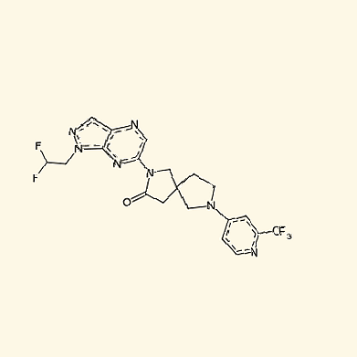 O=C1CC2(CCN(c3ccnc(C(F)(F)F)c3)C2)CN1c1cnc2cnn(CC(F)F)c2n1